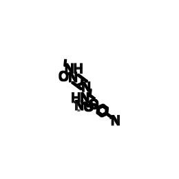 CCNC(=O)N1CC2CC(CN(CC(COc3ccc(C#N)cc3)NC(=O)N(C)C)C2)C1